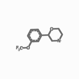 FC(F)(F)Oc1cccc(C2C[N]CCO2)c1